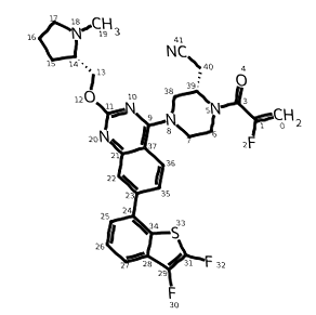 C=C(F)C(=O)N1CCN(c2nc(OC[C@@H]3CCCN3C)nc3cc(-c4cccc5c(F)c(F)sc45)ccc23)C[C@@H]1CC#N